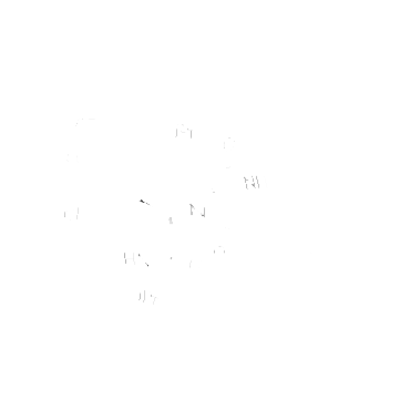 CC(C)C[C@@H]1C(=O)NC(C2Cc3ccccc3C2)C(=O)N1[C@@H](C(=O)NC(C)C)c1ccc(OC(F)(F)F)c(Cl)c1